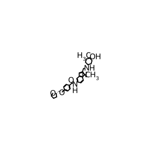 Cn1c(CN[C@H]2CC[C@](C)(O)CC2)cc2cc(NC(=O)c3ccc(OC[C@@H]4CCCO4)cc3)ccc21